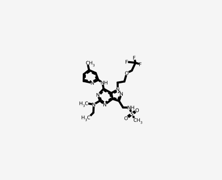 CCN(C)c1nc(Nc2cc(C)ccn2)c2c(n1)c(CNS(C)(=O)=O)nn2CCOCC(F)(F)F